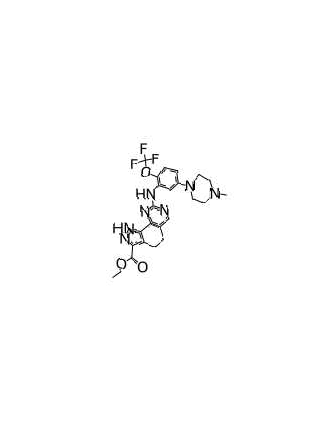 CCOC(=O)c1n[nH]c2c1CCc1cnc(Nc3cc(N4CCN(C)CC4)ccc3OC(F)(F)F)nc1-2